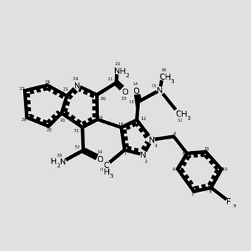 Cc1nn(Cc2ccc(F)cc2)c(C(=O)N(C)C)c1-c1c(C(N)=O)nc2ccccc2c1C(N)=O